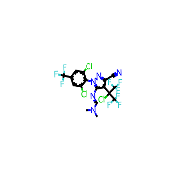 CN(C)C=Nc1c(C(Cl)(C(F)(F)F)C(F)(F)F)c(C#N)nn1-c1c(Cl)cc(C(F)(F)F)cc1Cl